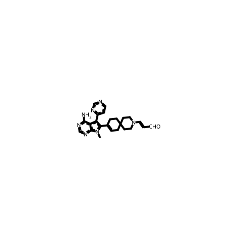 Cn1c(C2=CCC3(CC2)CCN(C=CC=O)CC3)c(-c2ccncn2)c2c(N)ncnc21